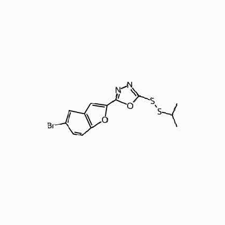 CC(C)SSc1nnc(-c2cc3cc(Br)ccc3o2)o1